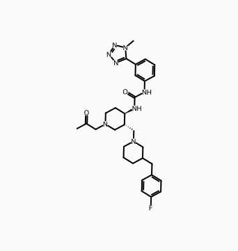 CC(=O)CN1CC[C@@H](NC(=O)Nc2cccc(-c3nnnn3C)c2)[C@H](CN2CCCC(Cc3ccc(F)cc3)C2)C1